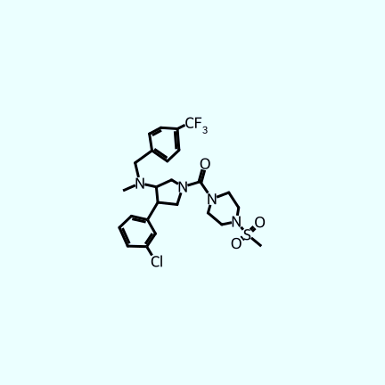 CN(Cc1ccc(C(F)(F)F)cc1)C1CN(C(=O)N2CCN(S(C)(=O)=O)CC2)CC1c1cccc(Cl)c1